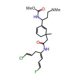 CNCCC(NC(=O)OC)C1=CC(C)(CC(=O)N/C(=C/C=C/F)C/C=C/Cl)CC=C1